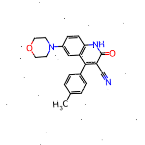 Cc1ccc(-c2c(C#N)c(=O)[nH]c3ccc(N4CCOCC4)cc23)cc1